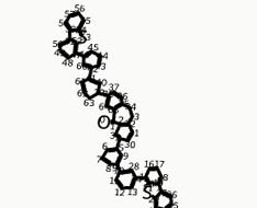 O=C1c2cc(-c3cccc(-c4cccc(-c5cccc6c5sc5ccccc56)c4)c3)ccc2CCc2ccc(C3C=C(c4cccc(-c5cccc6c5sc5ccccc56)c4)C=CC3)cc21